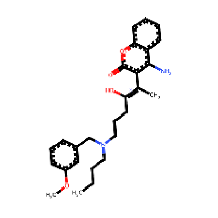 CCCCN(CCC/C(O)=C(\C)c1c(N)c2ccccc2oc1=O)Cc1cccc(OC)c1